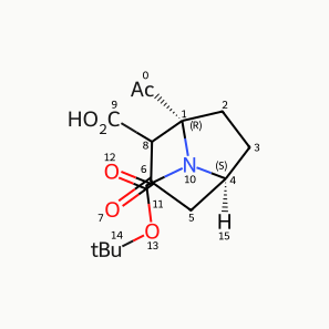 CC(=O)[C@@]12CC[C@@H](CC(=O)C1C(=O)O)N2C(=O)OC(C)(C)C